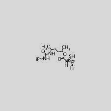 CC(C)NC(=O)NC(C)CCC(C)OC(=O)N[SH]1(S)=[SH]C1